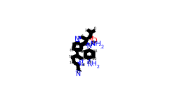 CC(C)C(=O)c1cnc2ccc(-c3ccc(C#N)nc3)cc2c1N(N)[C@H]1CC[C@H](N)CC1